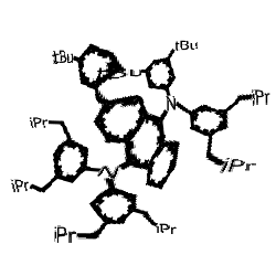 CC(C)Cc1cc(CC(C)C)cc(N(c2cc(CC(C)C)cc(CC(C)C)c2)c2c3ccccc3c(N(c3cc(CC(C)C)cc(CC(C)C)c3)c3cc(C(C)(C)C)cc(C(C)(C)C)c3)c3cc(-c4cccc(C(C)(C)C)c4)ccc23)c1